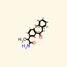 CC(C(N)=O)c1ccc2c(c1)C(=O)Cc1ccccc1S2